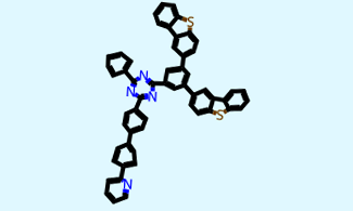 c1ccc(-c2nc(-c3ccc(-c4ccc(-c5ccccn5)cc4)cc3)nc(-c3cc(-c4ccc5sc6ccccc6c5c4)cc(-c4ccc5sc6ccccc6c5c4)c3)n2)cc1